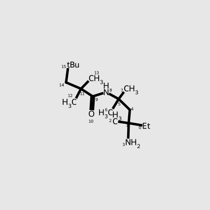 CCC(C)(N)CC(C)(C)NC(=O)C(C)(C)CC(C)(C)C